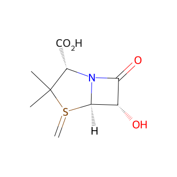 C=S1[C@@H]2[C@@H](O)C(=O)N2[C@@H](C(=O)O)C1(C)C